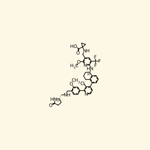 COc1cc(-c2nccc(-c3cccc4c3CCC[C@H]4Nc3nc(OC)c(CNC4(C(=O)O)CC4)cc3C(F)(F)F)c2Cl)ccc1CNC[C@@H]1CCC(=O)N1